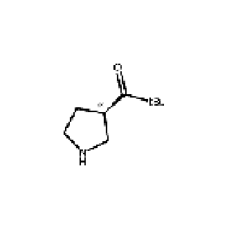 CC(C)(C)C(=O)[C@@H]1CCNC1